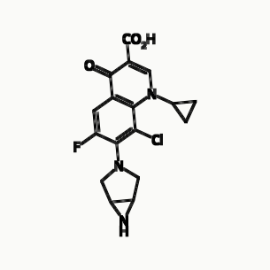 O=C(O)c1cn(C2CC2)c2c(Cl)c(N3CC4NC4C3)c(F)cc2c1=O